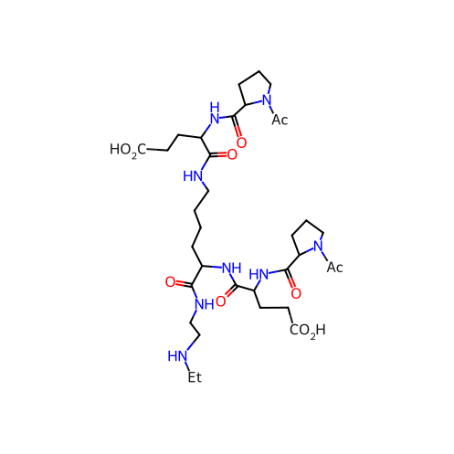 CCNCCNC(=O)C(CCCCNC(=O)C(CCC(=O)O)NC(=O)C1CCCN1C(C)=O)NC(=O)C(CCC(=O)O)NC(=O)C1CCCN1C(C)=O